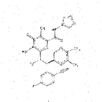 Cc1ncc([C@@H](c2cc(F)ccc2C#N)[C@H](C)c2nc(C(=O)Nc3cnoc3)c(O)c(=O)n2C)nc1C